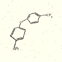 [CH2]CCc1ccc(Oc2ccc(C(F)(F)F)cc2)cc1